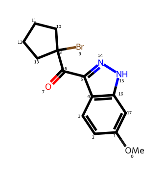 COc1ccc2c(C(=O)C3(Br)CCCC3)n[nH]c2c1